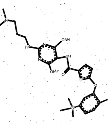 COc1nc(NCCCN(C)C)nc(OC)c1NC(=O)c1ccc(Oc2cc([Si](C)(C)C)ccc2C)o1